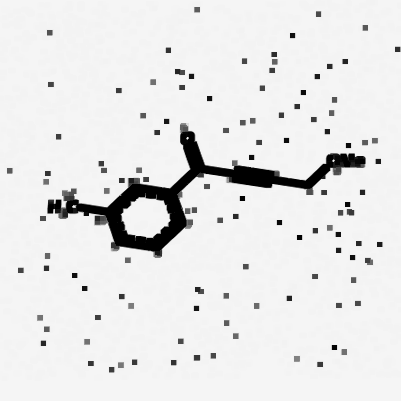 COCC#CC(=O)c1cccc(C)c1